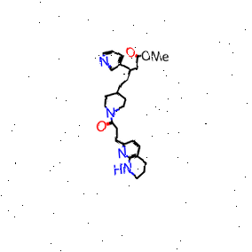 COC(=O)CC(CCC1CCN(C(=O)CCc2ccc3c(n2)NCCC3)CC1)c1cccnc1